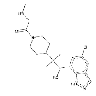 CNCC(=O)N1CCC(C(C)(C)C(O)c2cc(Cl)cc3cn[nH]c23)CC1